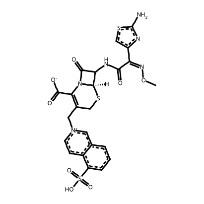 CO/N=C(\C(=O)NC1C(=O)N2C(C(=O)[O-])=C(C[n+]3ccc4c(S(=O)(=O)O)cccc4c3)CS[C@H]12)c1csc(N)n1